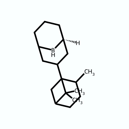 CC1CCC2CC1(C1CC3B[C@@H](CCC3)C1)C2(C)C